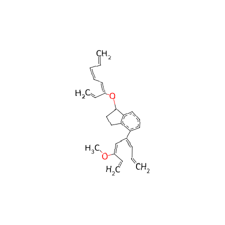 C=C/C=C\C=C(/C=C)OC1CCc2c(C(/C=C(\C=C)OC)=C/C=C)cccc21